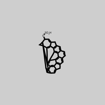 O=S(=O)(O)OC1C=C2Cc3cc4ccc5cc6c7c8c9c%10c(c2c3c2c4c5c7c%102)C23CC12C=CC(C=C8C6)C93